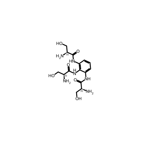 N[C@@H](CO)C(=O)Nc1cccc(NC(=O)[C@@H](N)CO)c1NC(=O)[C@@H](N)CO